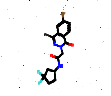 CC(C)c1nn(CC(=O)NC2CCC(F)(F)C2)c(=O)c2ccc(Br)cc12